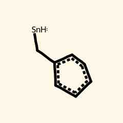 [SnH][CH2]c1ccccc1